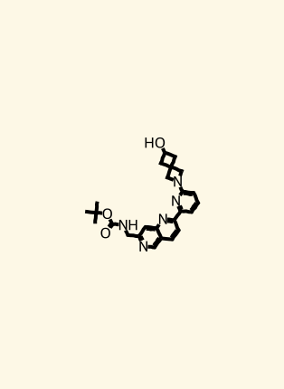 CC(C)(C)OC(=O)NCc1cc2nc(-c3cccc(N4CC5(CC(O)C5)C4)n3)ccc2cn1